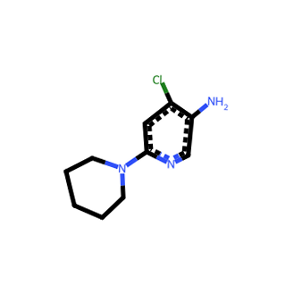 Nc1cnc(N2CCCCC2)cc1Cl